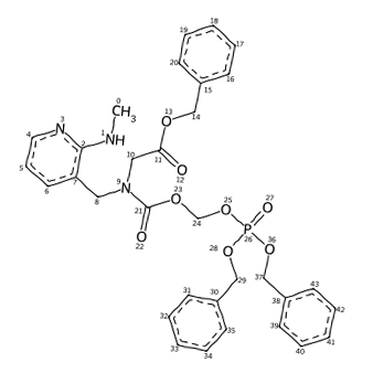 CNc1ncccc1CN(CC(=O)OCc1ccccc1)C(=O)OCOP(=O)(OCc1ccccc1)OCc1ccccc1